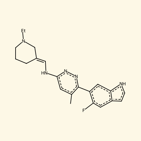 CCN1CCC/C(=C\Nc2cc(C)c(-c3cc4[nH]ccc4cc3F)nn2)C1